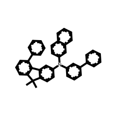 CC1(C)c2ccc(N(c3cccc(-c4ccccc4)c3)c3ccc4ccccc4c3)cc2-c2c(-c3ccccc3)cccc21